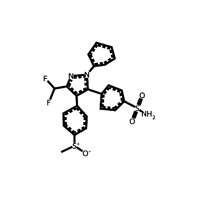 C[S+]([O-])c1ccc(-c2c(C(F)F)nn(-c3ccccc3)c2-c2ccc(S(N)(=O)=O)cc2)cc1